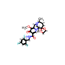 COc1c2n(cc(C(=O)NCc3c(F)cc(F)cc3F)c1=O)[C@@H]1CN(C2)[C@@H](C)CCC12OCCO2